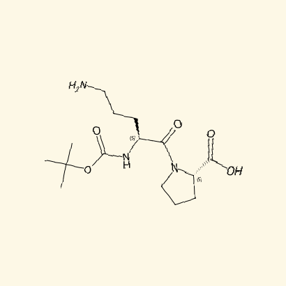 CC(C)(C)OC(=O)N[C@@H](CCCN)C(=O)N1CCC[C@H]1C(=O)O